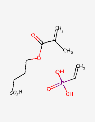 C=C(C)C(=O)OCCCS(=O)(=O)O.C=CP(=O)(O)O